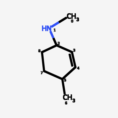 CNC1C=CC(C)CC1